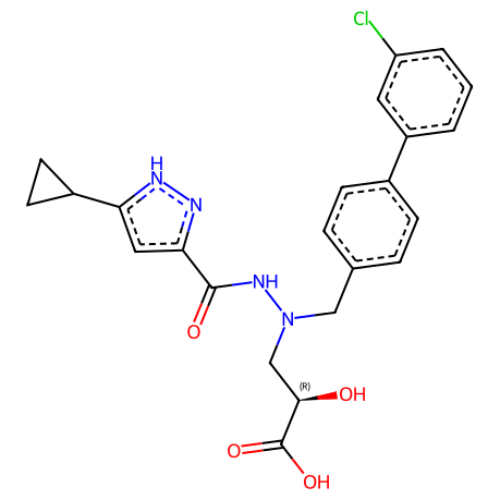 O=C(NN(Cc1ccc(-c2cccc(Cl)c2)cc1)C[C@@H](O)C(=O)O)c1cc(C2CC2)[nH]n1